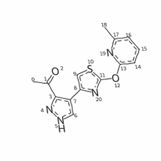 CC(=O)c1n[nH]cc1-c1csc(Oc2cccc(C)n2)n1